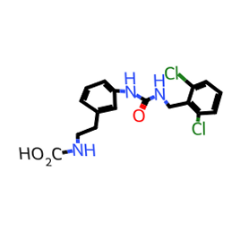 O=C(O)NCCc1cccc(NC(=O)NCc2c(Cl)cccc2Cl)c1